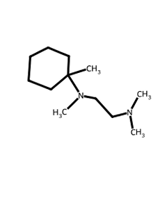 CN(C)CCN(C)C1(C)CCCCC1